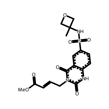 COC(=O)C=CCn1c(=O)[nH]c2ccc(S(=O)(=O)NC3(C)COC3)cc2c1=O